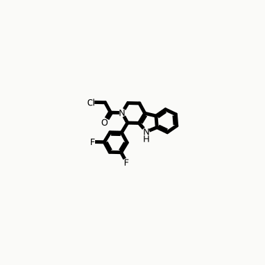 O=C(CCl)N1CCc2c([nH]c3ccccc23)C1c1cc(F)cc(F)c1